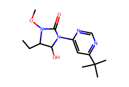 CCC1C(O)N(c2cc(C(C)(C)C)ncn2)C(=O)N1OC